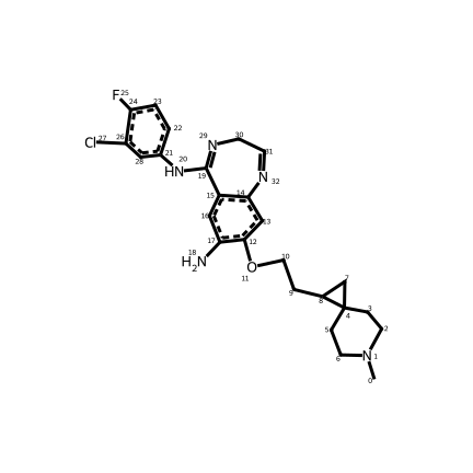 CN1CCC2(CC1)CC2CCOc1cc2c(cc1N)C(Nc1ccc(F)c(Cl)c1)=NCC=N2